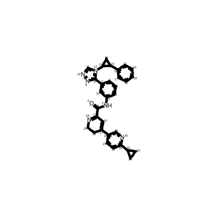 O=C(Nc1cccc(-c2nncn2C2CC2c2ccccc2)c1)C1=NCCC(c2ccc(C3CC3)nc2)=C1